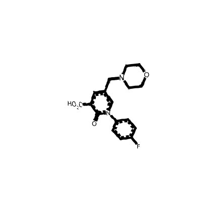 O=C(O)c1cc(CN2CCOCC2)cn(-c2ccc(F)cc2)c1=O